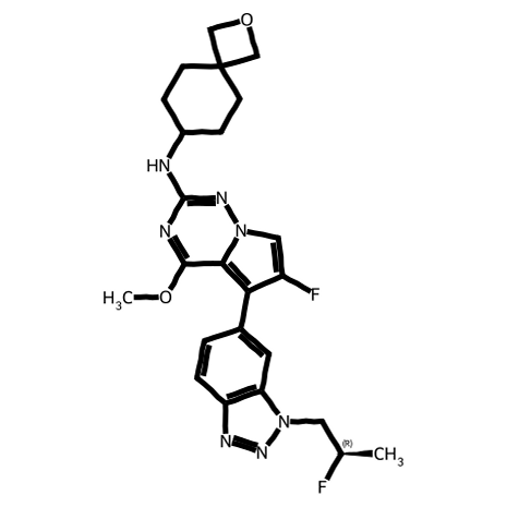 COc1nc(NC2CCC3(CC2)COC3)nn2cc(F)c(-c3ccc4nnn(C[C@@H](C)F)c4c3)c12